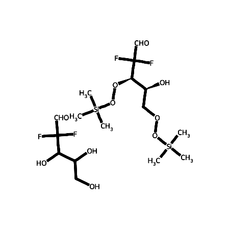 C[Si](C)(C)OOC[C@H](O)[C@@H](OO[Si](C)(C)C)C(F)(F)C=O.O=CC(F)(F)C(O)C(O)CO